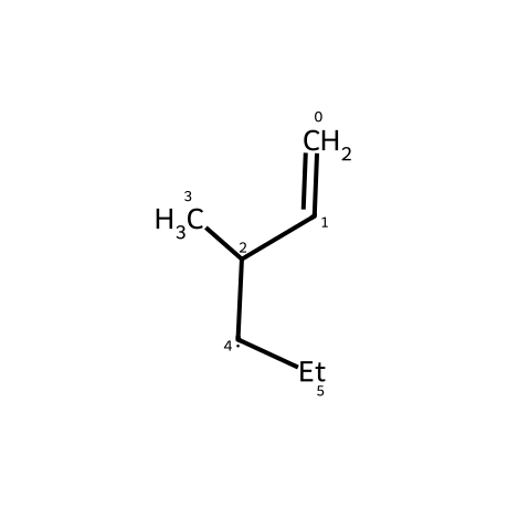 C=CC(C)[CH]CC